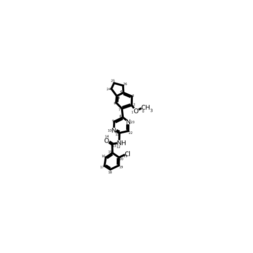 COc1cc2c(cc1-c1cnc(NC(=O)c3ccccc3Cl)cn1)CCC2